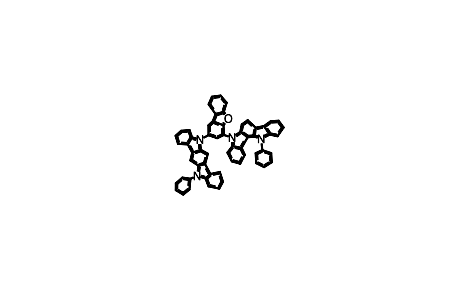 c1ccc(-n2c3ccccc3c3cc4c(cc32)c2ccccc2n4-c2cc(-n3c4ccccc4c4c3ccc3c5ccccc5n(-c5ccccc5)c34)c3oc4ccccc4c3c2)cc1